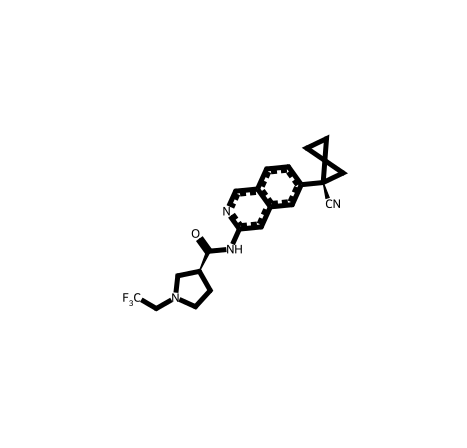 N#C[C@]1(c2ccc3cnc(NC(=O)[C@H]4CCN(CC(F)(F)F)C4)cc3c2)CC12CC2